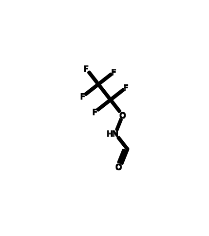 O=CNOC(F)(F)C(F)(F)F